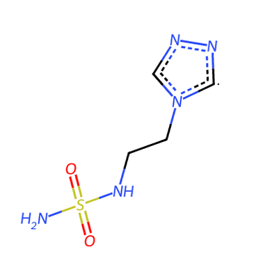 NS(=O)(=O)NCCn1[c]nnc1